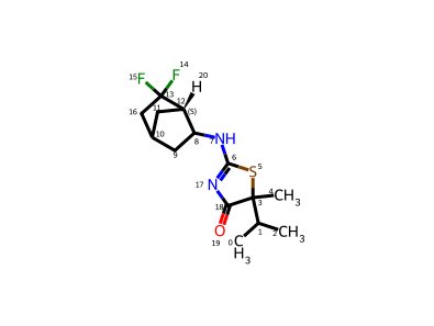 CC(C)C1(C)SC(NC2CC3C[C@@H]2C(F)(F)C3)=NC1=O